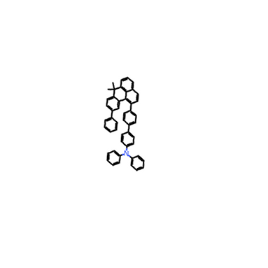 CC1(C)c2ccc(-c3ccccc3)cc2-c2c(-c3ccc(-c4ccc(N(c5ccccc5)c5ccccc5)cc4)cc3)ccc3cccc1c23